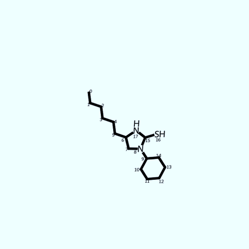 CCCCCCC1CN(C2CCCCC2)C(S)N1